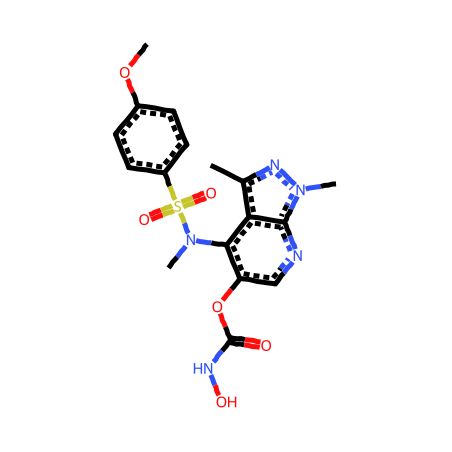 COc1ccc(S(=O)(=O)N(C)c2c(OC(=O)NO)cnc3c2c(C)nn3C)cc1